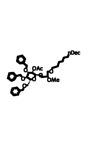 CCCCCCCCCCCCCCCCOC[C@H](CO[C@H]1O[C@H](COCc2ccccc2)[C@@H](OCc2ccccc2)[C@H](OCc2ccccc2)[C@@H]1OC(C)=O)OC